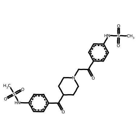 CS(=O)(=O)Nc1ccc(C(=O)CN2CCC(C(=O)c3ccc(NS(C)(=O)=O)cc3)CC2)cc1